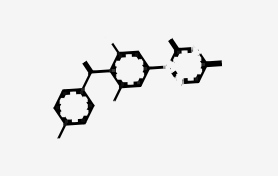 Cc1cc(-n2ncc(=S)[nH]c2=O)cc(Cl)c1C(=O)c1ccc(Cl)cc1